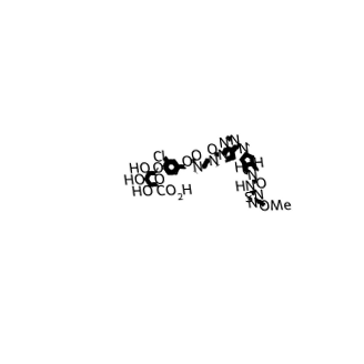 COc1nsc(NC(=O)N2C[C@H]3C[C@H](N(C)c4ncnc5c4ccn5C(=O)N(C)CCN(C)C(=O)OCc4ccc(O[C@@H]5O[C@H](C(=O)O)[C@@H](O)[C@H](O)[C@H]5O)c(Cl)c4)C[C@H]3C2)n1